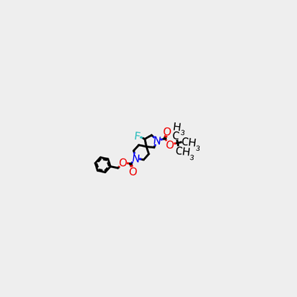 CC(C)(C)OC(=O)N1CC(F)C2(CCN(C(=O)OCc3ccccc3)CC2)C1